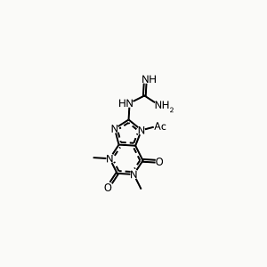 CC(=O)n1c(NC(=N)N)nc2c1c(=O)n(C)c(=O)n2C